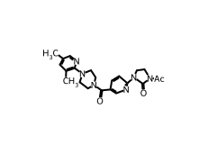 CC(=O)N1CCN(c2ccc(C(=O)N3CCN(c4ncc(C)cc4C)CC3)cn2)C1=O